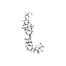 CCC(C)(C)Oc1ccc(C(c2ccc(OC(=O)C(F)(F)c3cccc(C(F)(F)C(=O)C(C)(C)CC)c3)cc2)(C(F)(F)F)C(F)(F)F)cc1